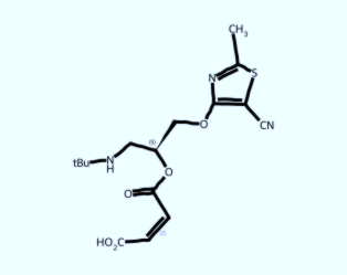 Cc1nc(OC[C@H](CNC(C)(C)C)OC(=O)/C=C\C(=O)O)c(C#N)s1